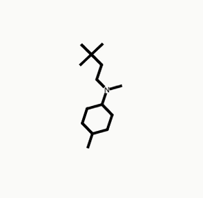 CC1CCC(N(C)CCC(C)(C)C)CC1